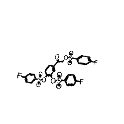 O=C(COS(=O)(=O)c1ccc(F)cc1)c1ccc(OS(=O)(=O)c2ccc(F)cc2)c(OS(=O)(=O)c2ccc(F)cc2)c1